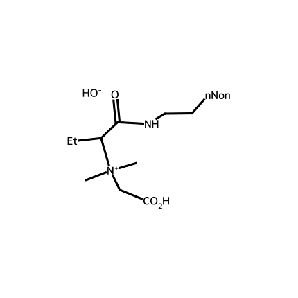 CCCCCCCCCCCNC(=O)C(CC)[N+](C)(C)CC(=O)O.[OH-]